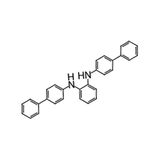 c1ccc(-c2ccc(Nc3ccccc3Nc3ccc(-c4ccccc4)cc3)cc2)cc1